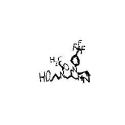 C=CC(=O)N(CCCO)CC1CN(c2ccc(C(F)(F)F)cc2)c2ccnn2C1